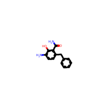 NC(=O)c1c(Cc2ccccc2)ccc(N)c1O